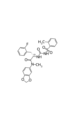 Cc1ccccc1S(=O)(=O)NC(=O)N[C@@H](Cc1ccccc1F)C(=O)N(C)c1ccc2c(c1)OCO2